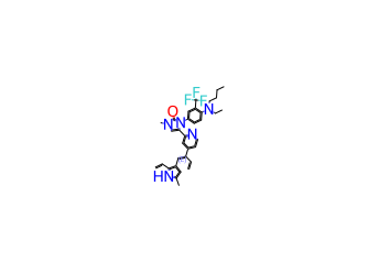 C=C/C(=C\c1cc(C)[nH]c1C=C)c1ccnc(-c2cn(C)c(=O)n2-c2ccc(N(CC)CCCC)c(C(F)(F)F)c2)c1